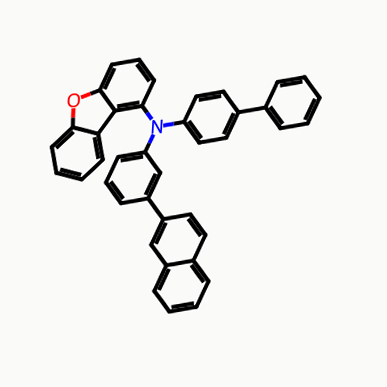 c1ccc(-c2ccc(N(c3cccc(-c4ccc5ccccc5c4)c3)c3cccc4oc5ccccc5c34)cc2)cc1